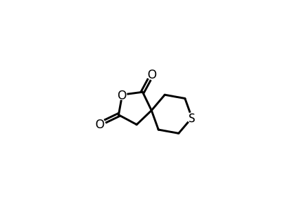 O=C1CC2(CCSCC2)C(=O)O1